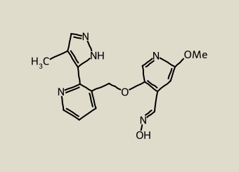 COc1cc(C=NO)c(OCc2cccnc2-c2[nH]ncc2C)cn1